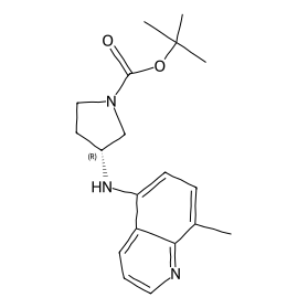 Cc1ccc(N[C@@H]2CCN(C(=O)OC(C)(C)C)C2)c2cccnc12